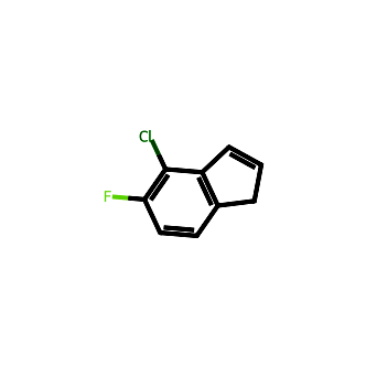 Fc1ccc2c(c1Cl)C=CC2